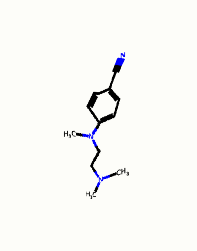 CN(C)CCN(C)c1ccc(C#N)cc1